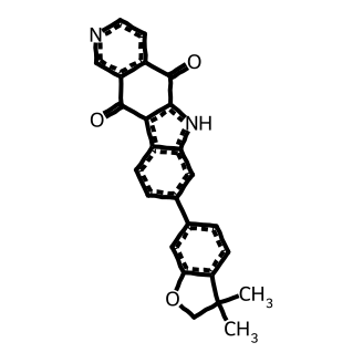 CC1(C)COc2cc(-c3ccc4c5c([nH]c4c3)C(=O)c3ccncc3C5=O)ccc21